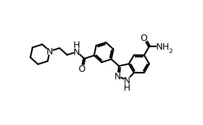 NC(=O)c1ccc2[nH]nc(-c3cccc(C(=O)NCCN4CCCCC4)c3)c2c1